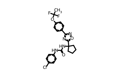 CC(F)(F)Oc1ccc(-c2noc(C3(NC(=O)Nc4ccc(Cl)cc4)CCCC3)n2)cc1